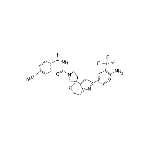 C[C@@H](NC(=O)N1CC[C@]2(C1)OCCn1nc(-c3cnc(N)c(C(F)(F)F)c3)cc12)c1ccc(C#N)cc1